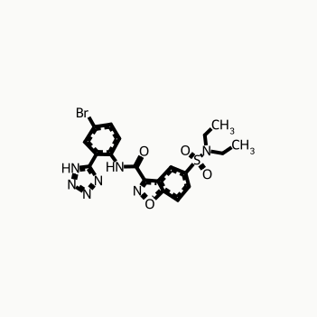 CCN(CC)S(=O)(=O)c1ccc2onc(C(=O)Nc3ccc(Br)cc3-c3nnn[nH]3)c2c1